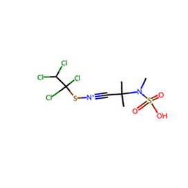 CN(C(C)(C)C#[N+]SC(Cl)(Cl)C(Cl)Cl)S(=O)(=O)O